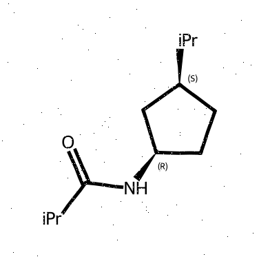 CC(C)C(=O)N[C@@H]1CC[C@H](C(C)C)C1